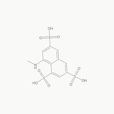 CNc1cc(S(=O)(=O)O)cc2cc(S(=O)(=O)O)cc(S(=O)(=O)O)c12